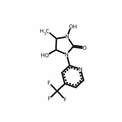 CC1C(O)N(c2cc(C(F)(F)F)ccn2)C(=O)N1O